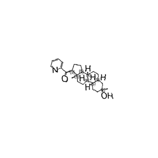 C[C@@]1(O)CC[C@H]2[C@@H](CC[C@@H]3[C@@H]2CC[C@]2(C)[C@@H](C(=O)c4ccccn4)CC[C@@H]32)C1